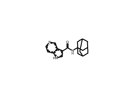 O=C(NC12CC3CC(CC(C3)C1)C2)c1c[nH]c2ccncc12